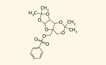 CC1(C)OC2OC3(COS(=O)(=O)c4ccccc4)COC(C)(C)OC3C2O1